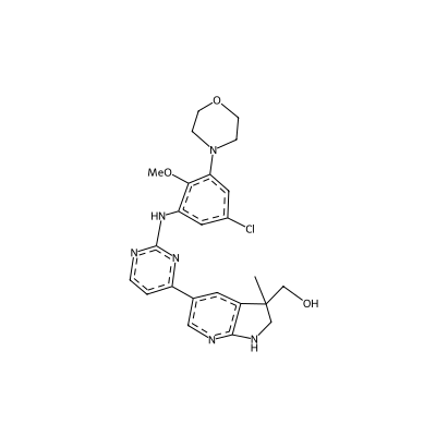 COc1c(Nc2nccc(-c3cnc4c(c3)C(C)(CO)CN4)n2)cc(Cl)cc1N1CCOCC1